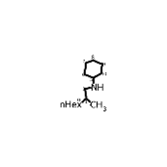 CCCCCCC(C)CNC1CCCCC1